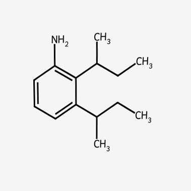 CCC(C)c1cccc(N)c1C(C)CC